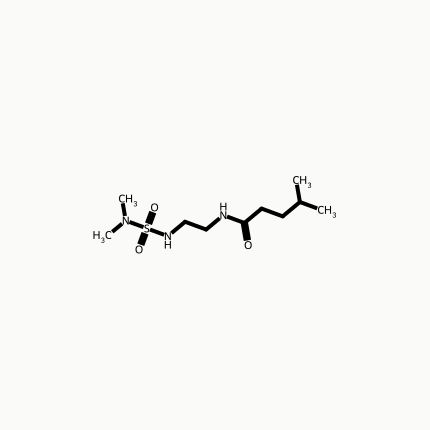 CC(C)CCC(=O)NCCNS(=O)(=O)N(C)C